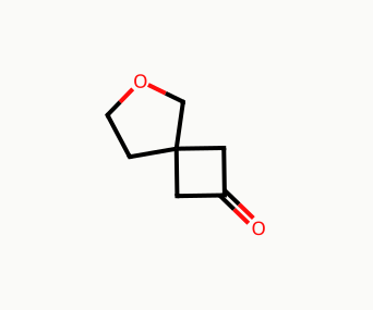 O=C1CC2(CCOC2)C1